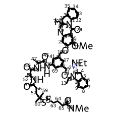 CC/N=C\[C@@H]1Cc2ccccc2N1C(C)OCc1cc(COc2cc3c(cc2OC)C(=O)N2c4ccccc4C[C@H]2C=N3)cc(NC(=O)[C@H](C)NC(=O)[C@H](C)NC(=O)CCC(C)(C)SSCCCC(=O)NC)c1